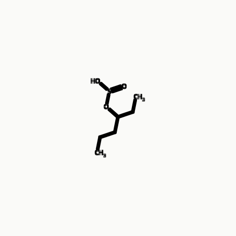 CCCC(CC)OS(=O)O